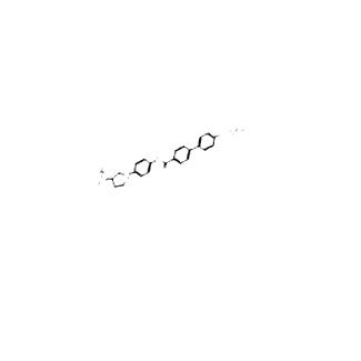 COc1ccc(-c2ccc(C(=O)Nc3ccc(N4CCC(N(C)C(C)=O)C4)cc3)cc2)cc1